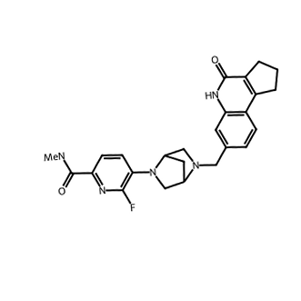 CNC(=O)c1ccc(N2CC3CC2CN3Cc2ccc3c4c(c(=O)[nH]c3c2)CCC4)c(F)n1